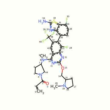 C=CC(=O)N1CCC(N(C)c2nc(OCC3CCCN3C)nc3c(F)c(-c4ccc(F)c5sc(N)nc45)c(C(F)(F)F)cc23)C1